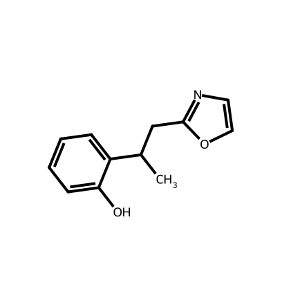 CC(Cc1ncco1)c1ccccc1O